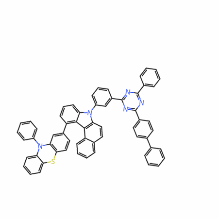 c1ccc(-c2ccc(-c3nc(-c4ccccc4)nc(-c4cccc(-n5c6cccc(-c7ccc8c(c7)N(c7ccccc7)c7ccccc7S8)c6c6c7ccccc7ccc65)c4)n3)cc2)cc1